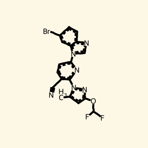 Cc1cc(OC(F)F)nn1-c1nc(-n2cnc3ccc(Br)cc32)ccc1C#N